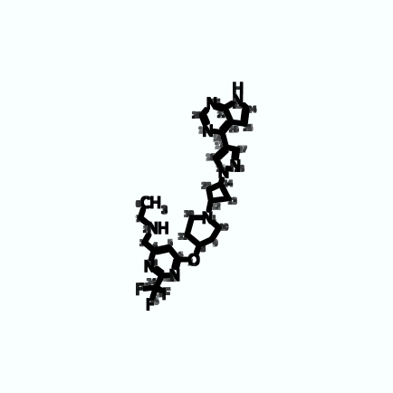 CCNCc1cc(OC2CCN(C3CC(n4cc(-c5ncnc6[nH]ccc56)cn4)C3)CC2)nc(C(F)(F)F)n1